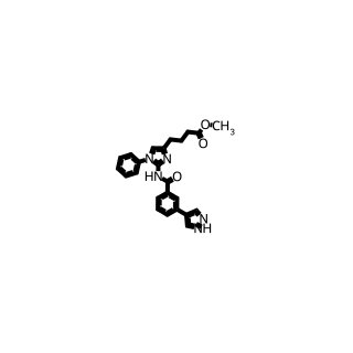 COC(=O)CCCc1cn(-c2ccccc2)c(NC(=O)c2cccc(-c3cn[nH]c3)c2)n1